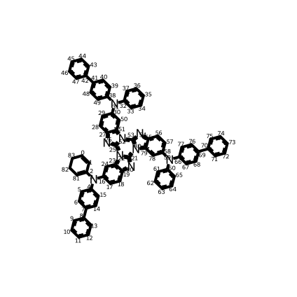 C1=CC(N(c2ccc(-c3ccccc3)cc2)c2ccc3nc4n(c3c2)c2nc3ccc(N(c5ccccc5)c5ccc(-c6ccccc6)cc5)cc3n2c2nc3ccc(N(c5ccccc5)c5ccc(-c6ccccc6)cc5)cc3n42)=CCC1